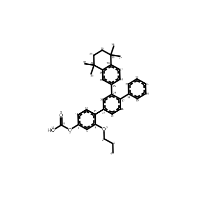 CCCOc1cc(OC(=O)O)ccc1-c1ccc(-c2ccccc2)c(-c2ccc3c(c2)C(C)(C)CCC3(C)C)c1